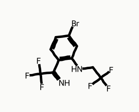 N=C(c1ccc(Br)cc1NCC(F)(F)F)C(F)(F)F